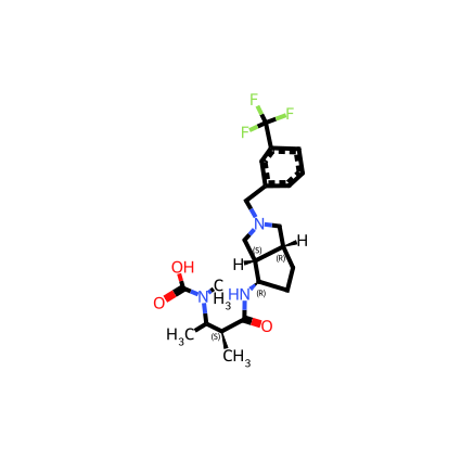 CC([C@H](C)C(=O)N[C@@H]1CC[C@H]2CN(Cc3cccc(C(F)(F)F)c3)C[C@H]21)N(C)C(=O)O